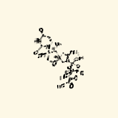 CSC[C@]1(COP(=O)(O)OP(=O)(O)OP(=O)(O)O)OC[C@](Cl)(n2ccc(=O)[nH]c2=O)[C@@H]1O